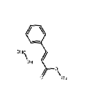 CC(C)(C)OC(=O)C=Cc1ccccc1.O=CO